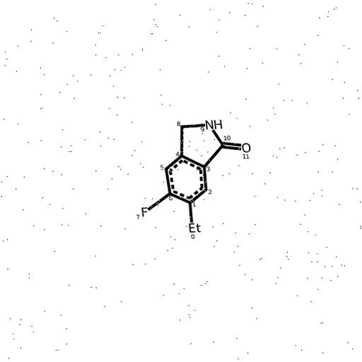 CCc1cc2c(cc1F)CNC2=O